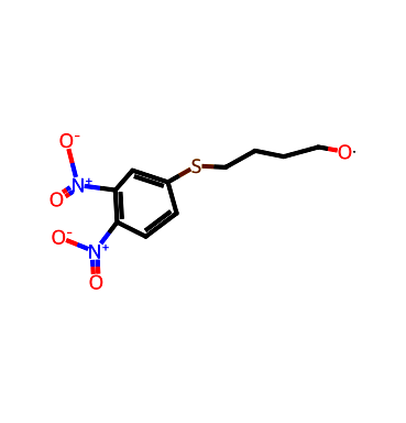 [O]CCCCSc1ccc([N+](=O)[O-])c([N+](=O)[O-])c1